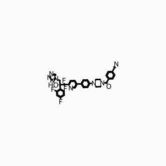 N#Cc1ccc(C(=O)N2CCN(c3ccc(-c4ccc(C(F)(F)[C@](O)(Cn5cnnn5)c5ccc(F)cc5F)nc4)cc3)CC2)cc1